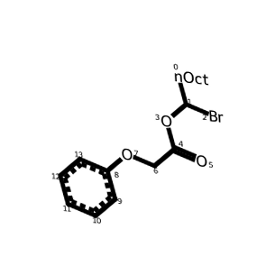 CCCCCCCCC(Br)OC(=O)COc1ccccc1